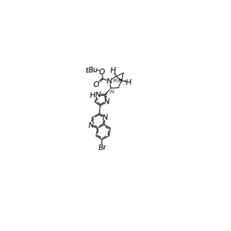 CC(C)(C)OC(=O)N1[C@@H]2C[C@@H]2C[C@H]1c1nc(-c2cnc3cc(Br)ccc3n2)c[nH]1